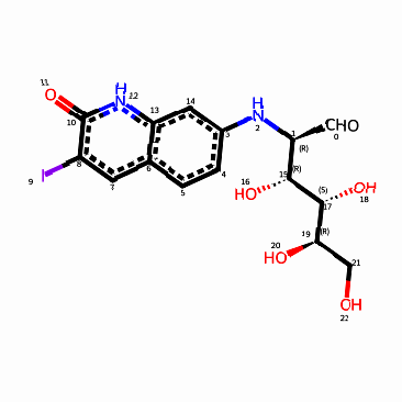 O=C[C@H](Nc1ccc2cc(I)c(=O)[nH]c2c1)[C@@H](O)[C@H](O)[C@H](O)CO